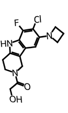 O=C(CO)N1CCc2[nH]c3c(F)c(Cl)c(N4CCC4)cc3c2C1